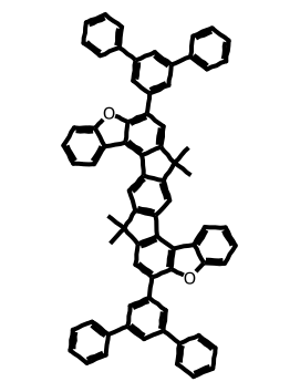 CC1(C)c2cc3c(cc2-c2c1cc(-c1cc(-c4ccccc4)cc(-c4ccccc4)c1)c1oc4ccccc4c21)C(C)(C)c1cc(-c2cc(-c4ccccc4)cc(-c4ccccc4)c2)c2oc4ccccc4c2c1-3